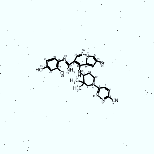 CC1(C)CN(c2ccc(C#N)nn2)CCC1Nc1c(/C(N)=N/c2ccc(O)cc2Cl)cnn2cc(Br)cc12